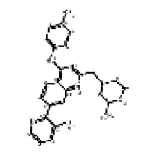 C[C@H]1CN(Cc2nc(Nc3ccc(C(F)(F)F)cc3)c3ccc(-c4ncccc4C(F)(F)F)cc3n2)CCO1